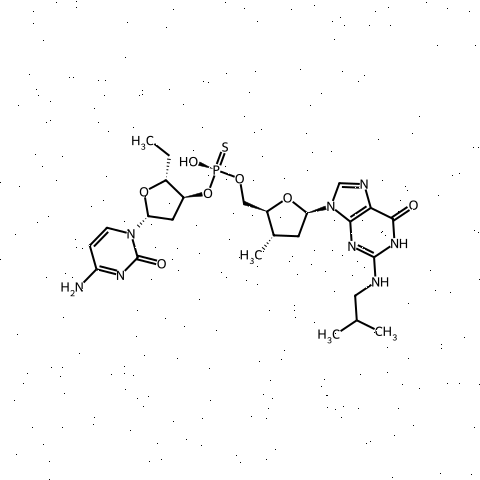 CC[C@H]1O[C@@H](n2ccc(N)nc2=O)C[C@@H]1O[P@](O)(=S)OC[C@H]1O[C@@H](n2cnc3c(=O)[nH]c(NCC(C)C)nc32)C[C@@H]1C